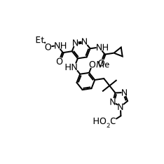 CCONC(=O)c1nnc(NC(=O)C2CC2)cc1Nc1cccc(CC(C)(C)c2ncn(CC(=O)O)n2)c1OC